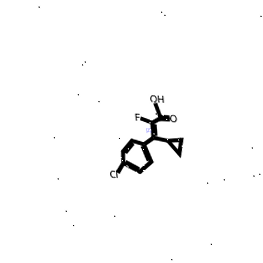 O=C(O)/C(F)=C(/c1ccc(Cl)cc1)C1CC1